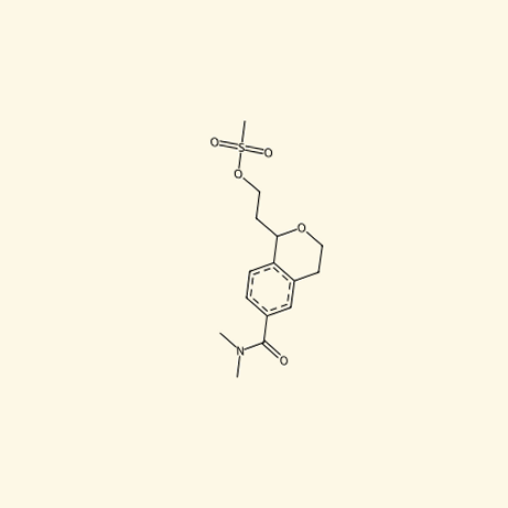 CN(C)C(=O)c1ccc2c(c1)CCOC2CCOS(C)(=O)=O